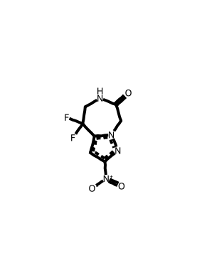 O=C1Cn2nc([N+](=O)[O-])cc2C(F)(F)CN1